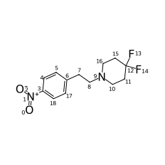 O=[N+]([O-])c1ccc(CCN2CCC(F)(F)CC2)cc1